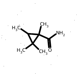 CC1C(C)(C)C1(C)C(N)=O